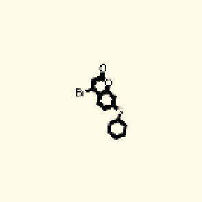 O=c1cc(Br)c2ccc(SC3CCCCC3)cc2o1